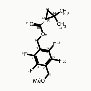 COCc1c(F)c(F)c(COC(=O)[C@@H]2CC2(C)C)c(F)c1F